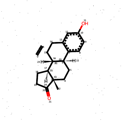 C=C.C[C@]12CC[C@@H]3c4ccc(O)cc4CC[C@H]3[C@@H]1CCC2=O